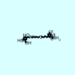 NS(=O)(=O)c1cc(CCCCOCCCCCCNC[C@@H](O)c2ccc(O)c(CO)c2)cc(C(F)(F)F)c1